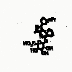 CCCN1CCC(c2nn(C)c3nc(O[C@@H]4O[C@H](C(=O)O)[C@@H](O)[C@H](O)[C@H]4O)c4ccccc4c23)C1